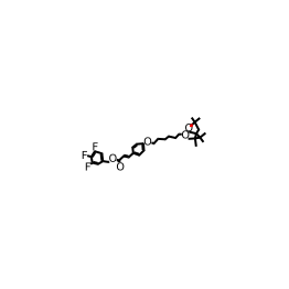 CC(C)(C)CC1(C(=O)OCCCCCCOc2ccc(/C=C/C(=O)OCc3cc(F)c(F)c(F)c3)cc2)C(C)(C)C1(C)C